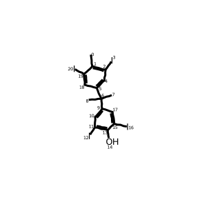 Cc1c(I)cc(C(C)(C)c2cc(I)c(O)c(I)c2)cc1I